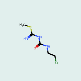 CSC(=N)NC(=O)NCCCl